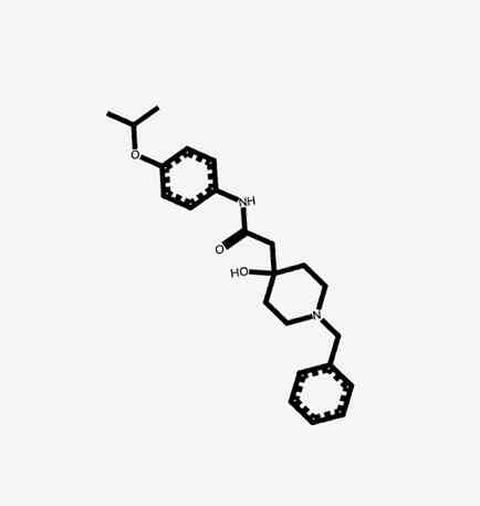 CC(C)Oc1ccc(NC(=O)CC2(O)CCN(Cc3ccccc3)CC2)cc1